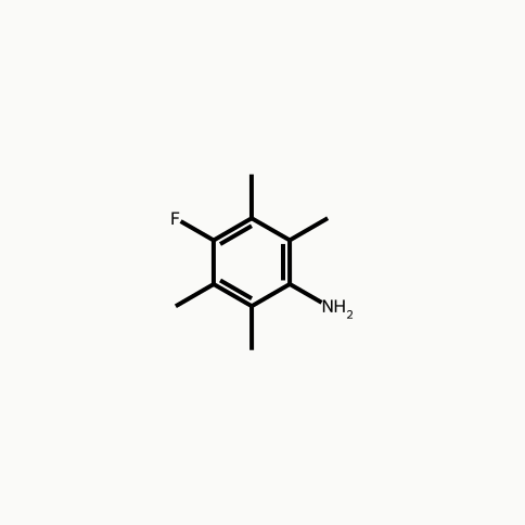 Cc1c(C)c(F)c(C)c(C)c1N